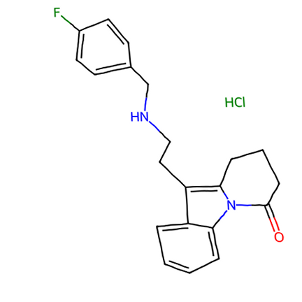 Cl.O=C1CCCc2c(CCNCc3ccc(F)cc3)c3ccccc3n21